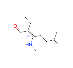 CC/C(C=O)=C(\CCC(C)C)NC